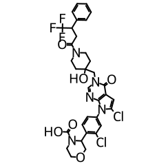 O=C(CC(c1ccccc1)C(F)(F)F)N1CCC(O)(Cn2cnc3c(cc(Cl)n3-c3ccc(C4COCCN4C(=O)O)c(Cl)c3)c2=O)CC1